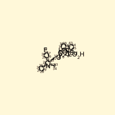 CC(C)(C)[Si](OC(CC(=O)O)C[PH](=O)OCC#Cc1c(-c2ccc(F)cc2)cc(-c2ccccc2)nc1C1CC1)(c1ccccc1)c1ccccc1